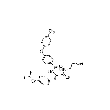 O=C(NCCO)/C(=C/c1ccc(OC(F)F)cc1)NC(=O)c1ccc(Oc2ccc(C(F)(F)F)cc2)cc1